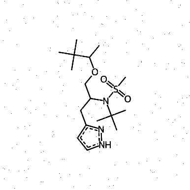 CC(OCC(Cc1cc[nH]n1)N(C(C)(C)C)S(C)(=O)=O)C(C)(C)C